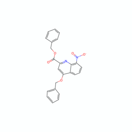 O=C(OCc1ccccc1)c1cc(OCc2ccccc2)c2cccc([N+](=O)[O-])c2n1